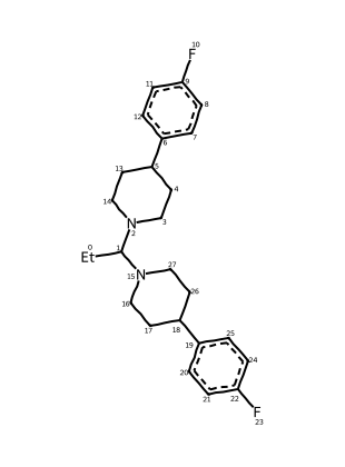 CCC(N1CCC(c2ccc(F)cc2)CC1)N1CCC(c2ccc(F)cc2)CC1